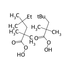 CC(C)(C)CC(C)(C)C(=O)OO.CCC(C)(C)CC(C)(C)C(=O)OO